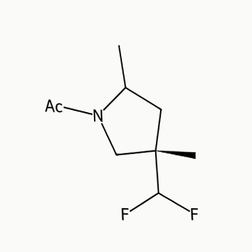 CC(=O)N1C[C@@](C)(C(F)F)CC1C